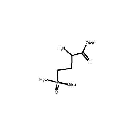 COC(=O)C(N)CCP(C)(=O)OCC(C)C